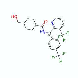 O=C(N[C@@H](c1ccc(C(F)(F)F)cc1)c1ncccc1C(F)(F)F)C1CCC(CO)CC1